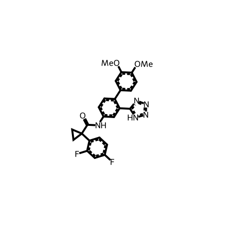 COc1ccc(-c2ccc(NC(=O)C3(c4ccc(F)cc4F)CC3)cc2-c2nnn[nH]2)cc1OC